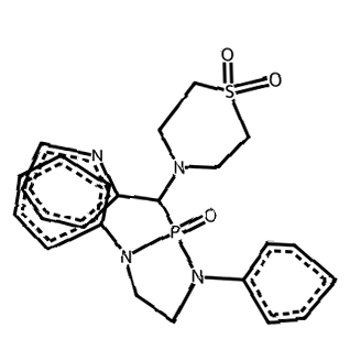 O=P1(C(c2ccccn2)N2CCS(=O)(=O)CC2)N(c2ccccc2)CCN1c1ccccc1